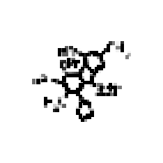 CCCc1cc(C)cc2c1-c1c(CCC)c(CCC)c(C)c(C3=CC=CC3)c1[CH]2[Zr+2].[Cl-].[Cl-]